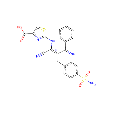 N#C/C(Nc1nc(C(=O)O)cs1)=C(\Cc1ccc(S(N)(=O)=O)cc1)C(=N)c1ccccc1